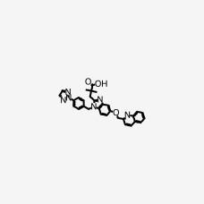 CC(C)(Cc1nc2cc(OCc3ccc4ccccc4n3)ccc2n1Cc1ccc(-n2nccn2)cc1)C(=O)O